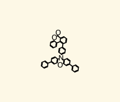 O=c1oc2ccccc2c2c(-c3ccc(N4c5ccc(-c6ccccc6)cc5Oc5cc(-c6ccccc6)ccc54)cc3)cccc12